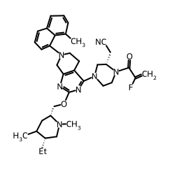 C=C(F)C(=O)N1CCN(c2nc(OC[C@H]3CC(C)[C@@H](CC)CN3C)nc3c2CCN(c2cccc4cccc(C)c24)C3)C[C@@H]1CC#N